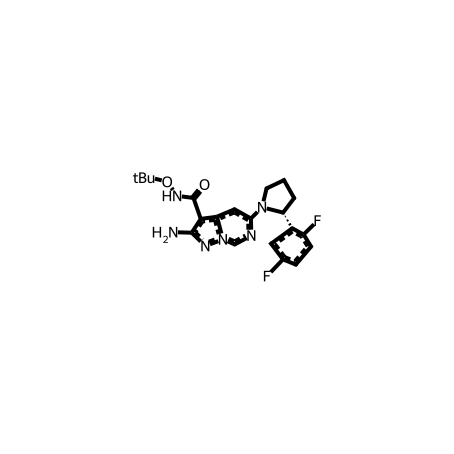 CC(C)(C)ONC(=O)c1c(N)nn2cnc(N3CCC[C@@H]3c3cc(F)ccc3F)cc12